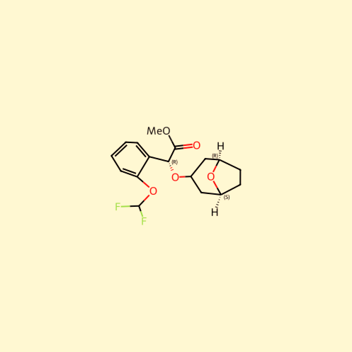 COC(=O)[C@H](OC1C[C@H]2CC[C@@H](C1)O2)c1ccccc1OC(F)F